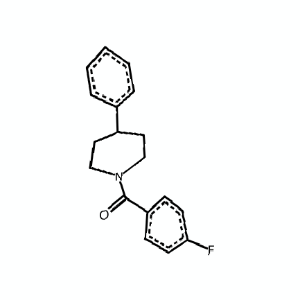 O=C(c1ccc(F)cc1)N1CCC(c2ccccc2)CC1